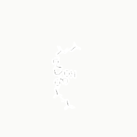 CC(C)=CCCC(C)=CCOC(=O)c1ccc(OCC=C(C)CCC=C(C)C)cc1O